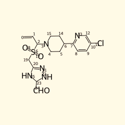 C=CC(N1CCC(c2ccc(Cl)cn2)CC1)S(=O)(=O)CC1=NNC(C=O)N1